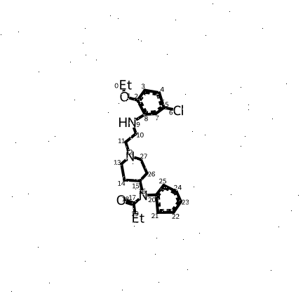 CCOc1ccc(Cl)cc1NCCN1CCC(N(C(=O)CC)c2ccccc2)CC1